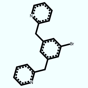 Brc1cc(Cc2ccccn2)cc(Cc2ccccn2)c1